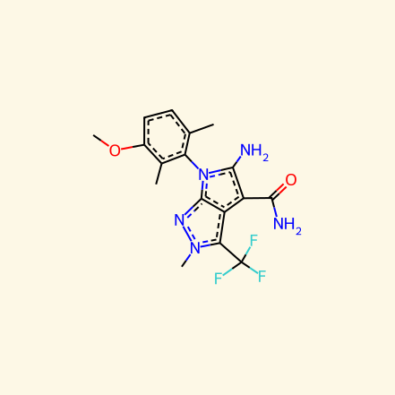 COc1ccc(C)c(-n2c(N)c(C(N)=O)c3c(C(F)(F)F)n(C)nc32)c1C